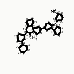 CC1c2ccc(-c3ccc4c(c3)c3ccccc3n4-c3cccc(C#N)c3)cc2-c2ccccc2CC1c1cccc(-c2ccccc2)c1